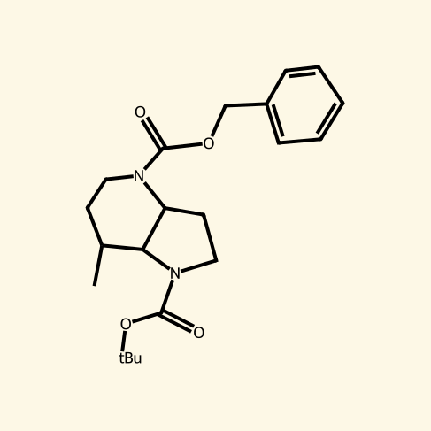 CC1CCN(C(=O)OCc2ccccc2)C2CCN(C(=O)OC(C)(C)C)C12